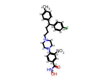 Cc1ccc(C(CCCN2CCN(c3ccc(C(=O)NO)cc3[N+](=O)[O-])CC2)c2ccc(F)cc2)cc1